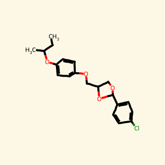 CCC(C)Oc1ccc(OCC2COC(c3ccc(Cl)cc3)O2)cc1